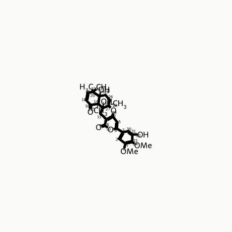 COc1cc(-c2cc3c(c(=O)o2)C[C@]2(O)[C@@]4(C)C(=O)C=CC(C)(C)[C@]4(O)CC[C@@]2(C)O3)cc(O)c1OC